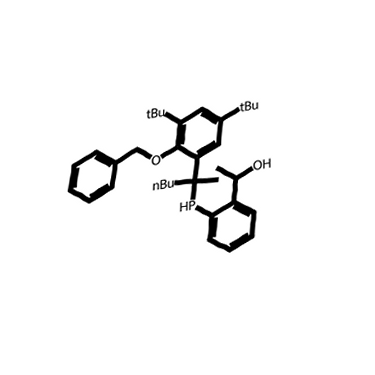 CCCCC(C)(Pc1ccccc1C(C)O)c1cc(C(C)(C)C)cc(C(C)(C)C)c1OCc1ccccc1